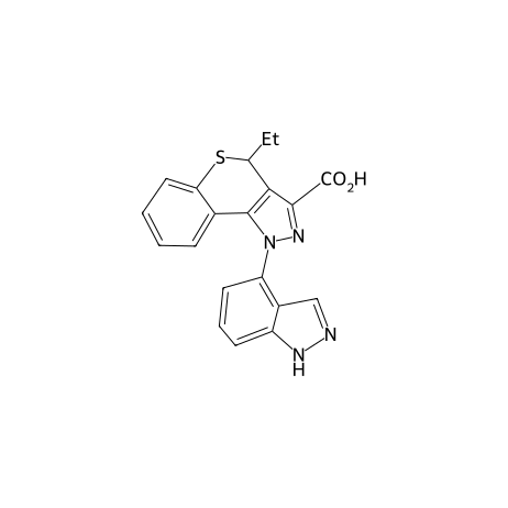 CCC1Sc2ccccc2-c2c1c(C(=O)O)nn2-c1cccc2[nH]ncc12